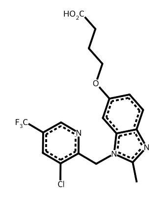 Cc1nc2ccc(OCCCC(=O)O)cc2n1Cc1ncc(C(F)(F)F)cc1Cl